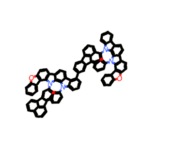 c1ccc(-n2c3cccc(-c4ccc5c(c4)-c4ccc(-n6c7ccccc7c7ccc8c9ccc%10oc%11ccccc%11c%10c9n(-c9ccccc9)c8c76)c6cccc-5c46)c3c3ccc4c5ccc6oc7ccccc7c6c5n(-c5ccc6c(c5)-c5cccc7cccc-6c57)c4c32)cc1